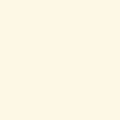 Cc1ccc2c(c1)CCNC2(C)C